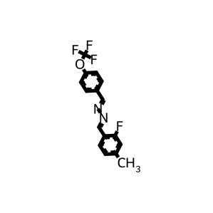 Cc1ccc(C=NN=Cc2ccc(OC(F)(F)F)cc2)c(F)c1